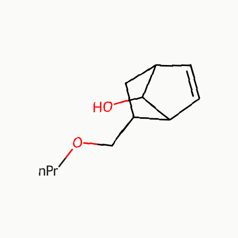 CCCOCC1CC2C=CC1C2O